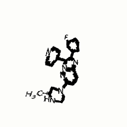 C[C@@H]1CN(c2ccc3nc(-c4cccc(F)c4)c(-c4ccncc4)n3n2)CCN1